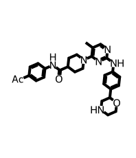 CC(=O)c1ccc(NC(=O)C2CCN(c3nc(Nc4ccc(C5CNCCO5)cc4)ncc3C)CC2)cc1